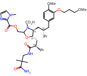 COCCCOc1cc(C[C@@H](C[C@H]2[C@H](C[C@H](C(=O)NCC(C)(C)C(N)=O)C(C)C)OC(COC(=O)c3nccn3C)N2C(=O)O)C(C)C)ccc1OC